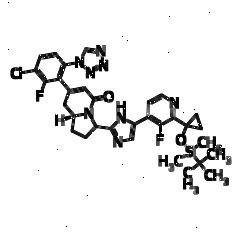 CC(C)(C)[Si](C)(C)OC1(c2nccc(-c3cnc(C4CC[C@@H]5CC(c6c(-n7cnnn7)ccc(Cl)c6F)=CC(=O)N45)[nH]3)c2F)CC1